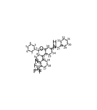 O=C(c1ccccc1)c1cnc2c(C(F)(F)F)cccc2c1-c1ccc(NCc2cc[c]cc2)cc1